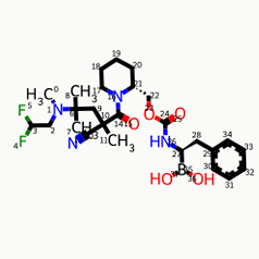 CN(CC(F)F)C(C)(C)CC(C)(C#N)C(=O)N1CCCC[C@@H]1COC(=O)N[C@@H](Cc1ccccc1)B(O)O